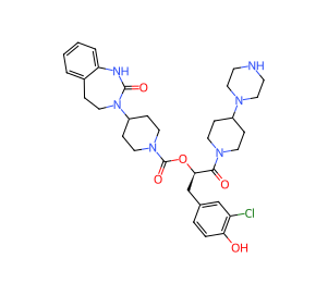 O=C(O[C@H](Cc1ccc(O)c(Cl)c1)C(=O)N1CCC(N2CCNCC2)CC1)N1CCC(N2CCc3ccccc3NC2=O)CC1